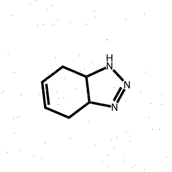 C1=CCC2NN=NC2C1